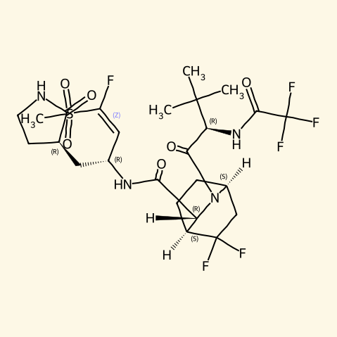 CC(C)(C)[C@@H](NC(=O)C(F)(F)F)C(=O)N1[C@H]2CC[C@@H]([C@@H]1C(=O)N[C@@H](/C=C(/F)S(C)(=O)=O)C[C@H]1CCNC1=O)C(F)(F)C2